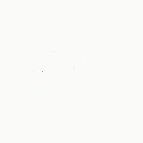 O=C(CC(Cc1ccccc1)C1=COCO1)Nc1cccc2c(=O)n(CC3(O)CCCCC3)ccc12